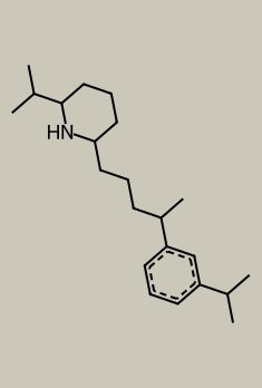 CC(C)c1cccc(C(C)CCCC2CCCC(C(C)C)N2)c1